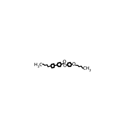 CCCCCCOc1ccc(OC(=O)c2ccc(-c3ccc(CCCCC)cc3)cc2)cc1